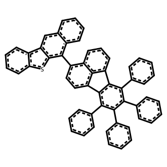 c1ccc(-c2c(-c3ccccc3)c(-c3ccccc3)c3c(c2-c2ccccc2)-c2cccc4c(-c5c6ccccc6cc6c5sc5ccccc56)ccc-3c24)cc1